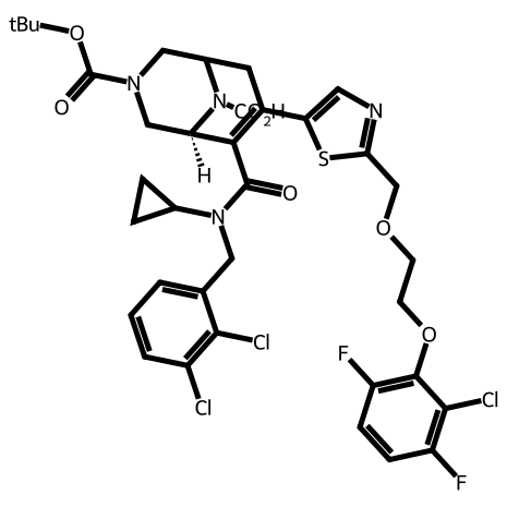 CC(C)(C)OC(=O)N1CC2CC(c3cnc(COCCOc4c(F)ccc(F)c4Cl)s3)=C(C(=O)N(Cc3cccc(Cl)c3Cl)C3CC3)[C@@H](C1)N2C(=O)O